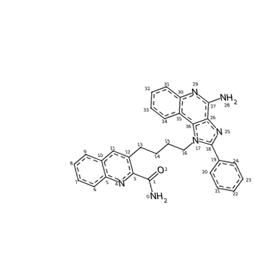 NC(=O)c1nc2ccccc2cc1CCCCn1c(-c2ccccc2)nc2c(N)nc3ccccc3c21